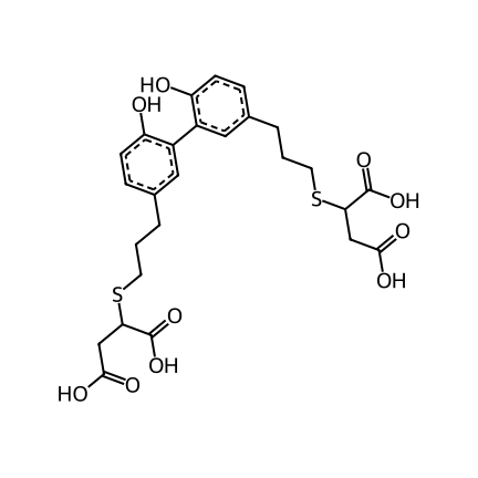 O=C(O)CC(SCCCc1ccc(O)c(-c2cc(CCCSC(CC(=O)O)C(=O)O)ccc2O)c1)C(=O)O